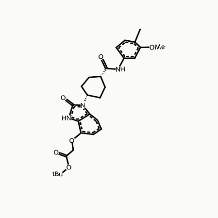 COc1cc(NC(=O)[C@H]2CC[C@@H](n3c(=O)[nH]c4c(OCC(=O)OC(C)(C)C)cccc43)CC2)ccc1C